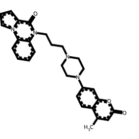 Cc1cc(=O)oc2cc(N3CCN(CCCn4c(=O)c5cccn5c5ccccc54)CC3)ccc12